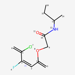 C=C(/C=C(/F)C(=C)Cl)OCC(=O)NC(C)CC